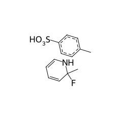 CC1(F)C=CC=CN1.Cc1ccc(S(=O)(=O)O)cc1